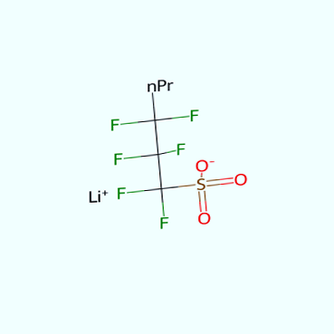 CCCC(F)(F)C(F)(F)C(F)(F)S(=O)(=O)[O-].[Li+]